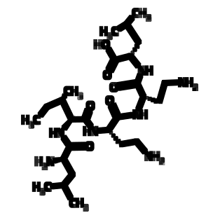 CC[C@H](C)[C@H](NC(=O)[C@H](N)CC(C)C)C(=O)N[C@@H](CCN)C(=O)N[C@@H](CCN)C(=O)N[C@@H](CC(C)C)C(=O)O